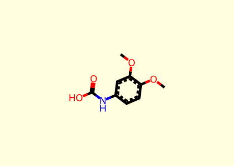 COc1ccc(NC(=O)O)cc1OC